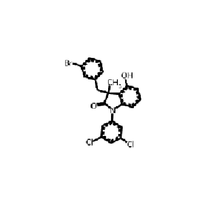 CC1(Cc2cccc(Br)c2)C(=O)N(c2cc(Cl)cc(Cl)c2)c2cccc(O)c21